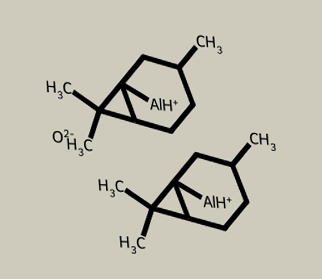 CC1CCC2C(C)(C)[C]2([AlH+])C1.CC1CCC2C(C)(C)[C]2([AlH+])C1.[O-2]